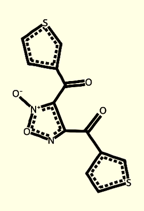 O=C(c1ccsc1)c1no[n+]([O-])c1C(=O)c1ccsc1